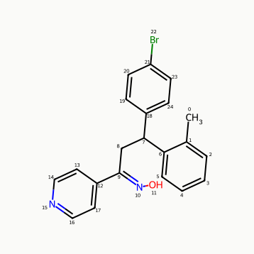 Cc1ccccc1C(C/C(=N\O)c1ccncc1)c1ccc(Br)cc1